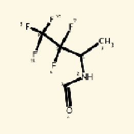 CC(N[C]=O)C(F)(F)C(F)(F)F